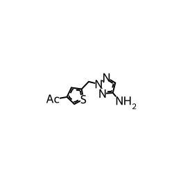 CC(=O)c1csc(Cn2ncc(N)n2)c1